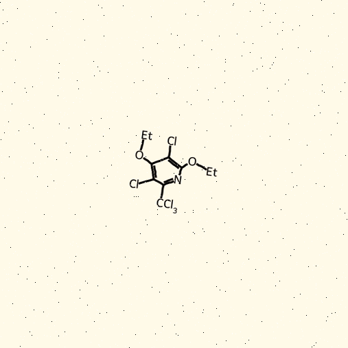 CCOc1nc(C(Cl)(Cl)Cl)c(Cl)c(OCC)c1Cl